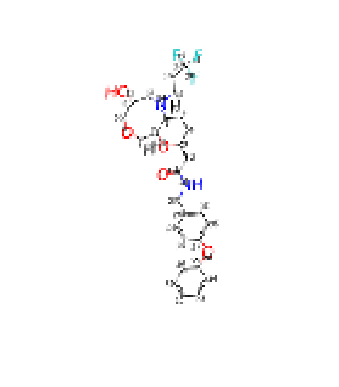 O=C(C[C@@H]1CC[C@H]2[C@H](COC[C@H](O)CN2CCC(F)(F)F)O1)NCc1ccc(Oc2ccccc2)cc1